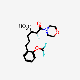 O=C(O)[C@H](CCCc1ccccc1OC(F)F)[C@@H](F)C(=O)N1CCOCC1